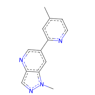 Cc1ccnc(-c2cnc3cnn(C)c3c2)c1